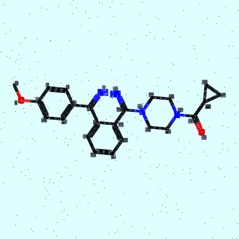 COc1ccc(C(=N)c2ccccc2C(=N)N2CCN(C(=O)C3CC3)CC2)cc1